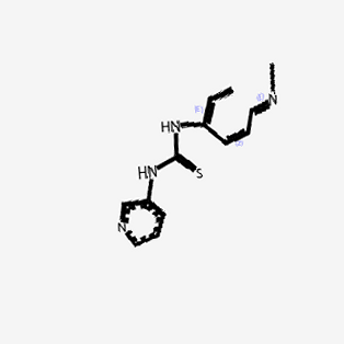 C\C=C(/C=C\C=N\C)NC(=S)Nc1cccnc1